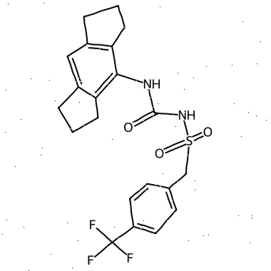 O=C(Nc1c2c(cc3c1CCC3)CCC2)NS(=O)(=O)Cc1ccc(C(F)(F)F)cc1